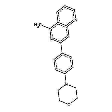 Cc1nc(-c2ccc(N3CCOCC3)cc2)cc2ncccc12